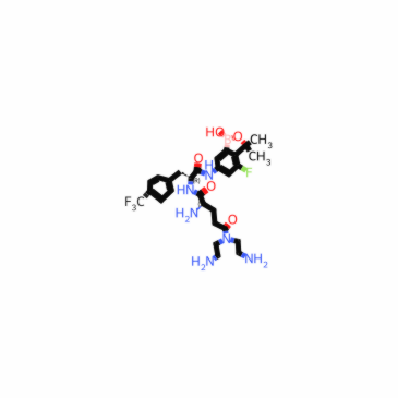 CC1(C)OB(O)c2cc(NC(=O)[C@@H](Cc3ccc(C(F)(F)F)cc3)NC(=O)[C@@H](N)CCC(=O)N(CCN)CCN)cc(F)c21